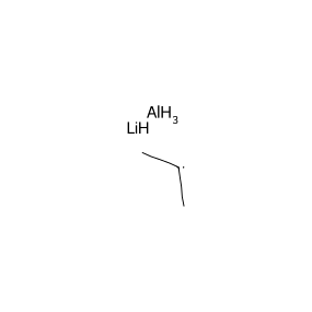 C[CH]C.[AlH3].[LiH]